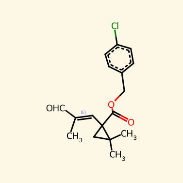 C/C(C=O)=C\C1(C(=O)OCc2ccc(Cl)cc2)CC1(C)C